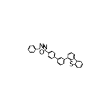 c1ccc(-c2nnc(-c3ccc(-c4cccc(-c5cccc6c5sc5ccccc56)c4)cc3)o2)cc1